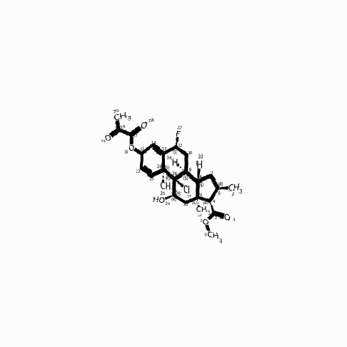 COC(=O)[C@@H]1[C@H](C)C[C@H]2[C@@H]3C[C@H](F)C4=CC(OC(=O)C(C)=O)C=C[C@]4(C)[C@@]3(Cl)[C@H](O)C[C@]12C